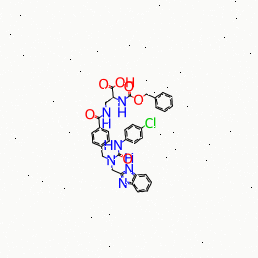 O=C(N[C@@H](CNC(=O)c1ccc(CN(Cc2nc3ccccc3[nH]2)C(=O)Nc2ccc(Cl)cc2)cc1)C(=O)O)OCc1ccccc1